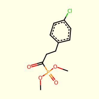 COP(=O)(OC)C(=O)CCc1ccc(Cl)cc1